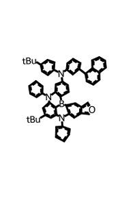 CC(C)(C)c1ccc(N(c2cccc(-c3cccc4ccccc34)c2)c2ccc3c(c2)N(c2ccccc2)c2cc(C(C)(C)C)cc4c2B3c2cc3cocc3cc2N4c2ccccc2)cc1